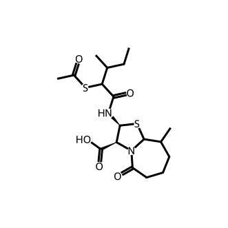 CCC(C)C(SC(C)=O)C(=O)N[C@H]1SC2C(C)CCCC(=O)N2[C@H]1C(=O)O